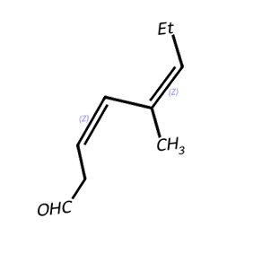 CC/C=C(C)\C=C/CC=O